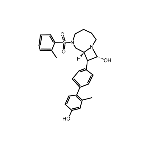 Cc1cc(O)ccc1-c1ccc([C@@H]2[C@@H](O)N3CCCCN(S(=O)(=O)c4ccccc4C)C[C@@H]23)cc1